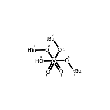 CC(C)(C)[O][V](=[O])(=[O])([OH])([O]C(C)(C)C)[O]C(C)(C)C